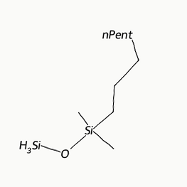 CCCCCCCC[Si](C)(C)O[SiH3]